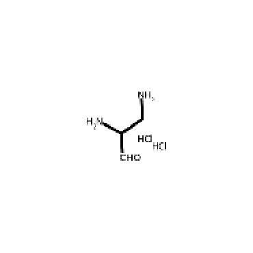 Cl.Cl.NCC(N)C=O